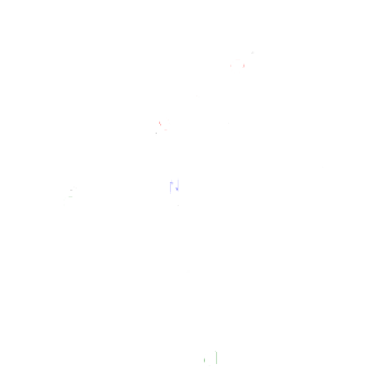 CC(C)S(=O)(=O)c1ccccc1Nc1cc(Cl)ccc1Cl